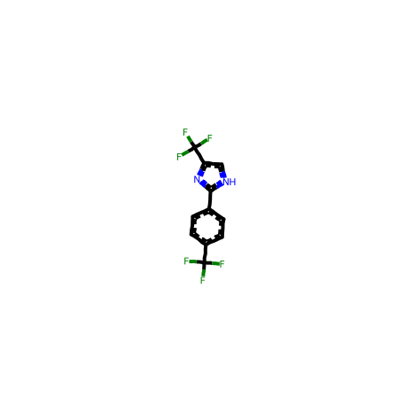 FC(F)(F)c1ccc(-c2nc(C(F)(F)F)c[nH]2)cc1